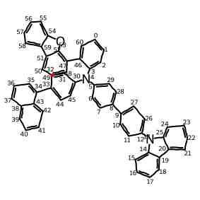 c1ccc(N(c2ccc(-c3ccc(-n4c5ccccc5c5ccccc54)cc3)cc2)c2ccc(-c3cccc4ccccc34)cc2)c(-c2cccc3c2oc2ccccc23)c1